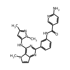 Cc1cc(Nc2nc(-c3cccc(NC(=O)c4ccc(N)nc4)c3)nc3ccn(C)c23)n(C)n1